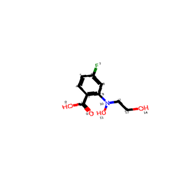 O=C(O)c1ccc(F)cc1N(O)CCO